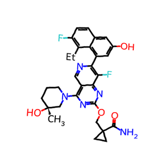 CCc1c(F)ccc2cc(O)cc(-c3ncc4c(N5CCC[C@@](C)(O)C5)nc(OCC5(C(N)=O)CC5)nc4c3F)c12